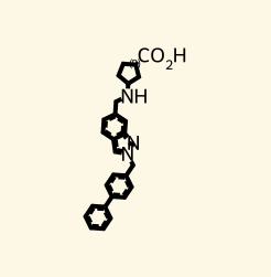 O=C(O)[C@@H]1CCC(NCc2ccc3cn(Cc4ccc(-c5ccccc5)cc4)nc3c2)C1